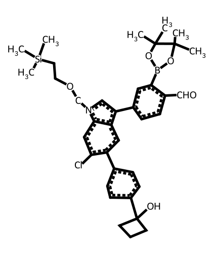 CC1(C)OB(c2cc(-c3cn(COCC[Si](C)(C)C)c4cc(Cl)c(-c5ccc(C6(O)CCC6)cc5)cc34)ccc2C=O)OC1(C)C